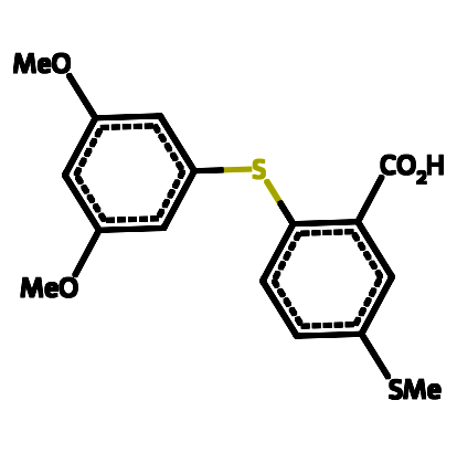 COc1cc(OC)cc(Sc2ccc(SC)cc2C(=O)O)c1